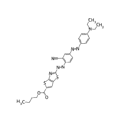 CCCCOC(=O)c1cc2sc(N=Nc3ccc(N=Nc4ccc(N(CC)CC)cc4)cc3C#N)nc2s1